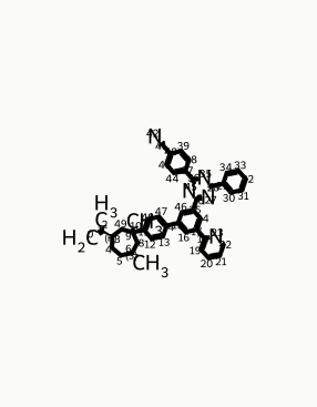 C=C(C)[C@@H]1CC[C@H](C)CC(C)(c2ccc(-c3cc(-c4ccccn4)cc(-c4nc(-c5ccccc5)nc(-c5ccc(C#N)cc5)n4)c3)cc2)C1